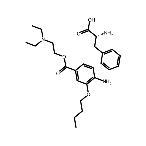 CCCCOc1cc(C(=O)OCCN(CC)CC)ccc1N.N[C@H](Cc1ccccc1)C(=O)O